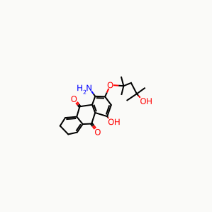 CC(C)(O)CC(C)(C)Oc1cc(O)c2c(c1N)C(=O)C1=CCCC=C1C2=O